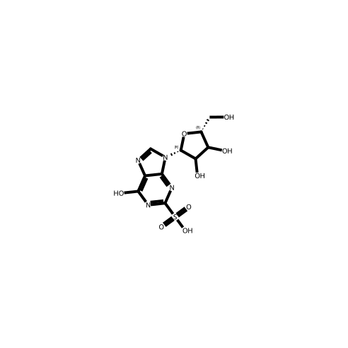 O=S(=O)(O)c1nc(O)c2ncn([C@@H]3O[C@H](CO)C(O)C3O)c2n1